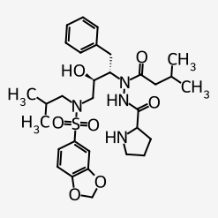 CC(C)CC(=O)N(NC(=O)C1CCCN1)[C@@H](Cc1ccccc1)[C@H](O)CN(CC(C)C)S(=O)(=O)c1ccc2c(c1)OCO2